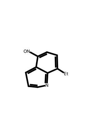 CCc1ccc(N=O)c2cccnc12